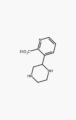 CCOC(=O)c1ncccc1C1CNCCN1